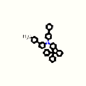 Cc1ccc(-c2cccc(N(c3ccc(-c4ccccc4)cc3)c3ccc4c(c3)C(c3ccccc3)(c3ccccc3)c3ccccc3-4)c2)cc1